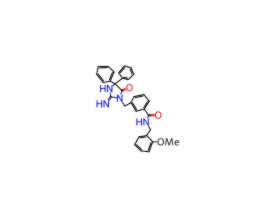 COc1ccccc1CNC(=O)c1cccc(CN2C(=N)NC(c3ccccc3)(c3ccccc3)C2=O)c1